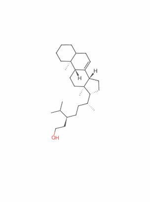 CC(C)[C@H](CCO)CC[C@@H](C)[C@H]1CC[C@H]2C3=CCC4CCCC[C@]4(C)[C@H]3CC[C@]12C